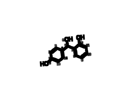 Oc1ccc(C(O)c2ccccc2O)cc1